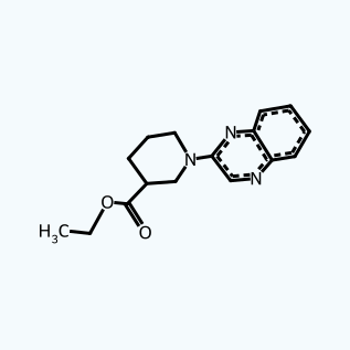 CCOC(=O)C1CCCN(c2cnc3ccccc3n2)C1